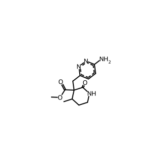 COC(=O)C1(Cc2ccc(N)nn2)C(=O)NCCC1C